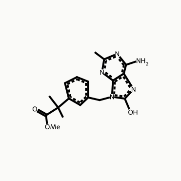 COC(=O)C(C)(C)c1cccc(Cn2c(O)nc3c(N)nc(C)nc32)c1